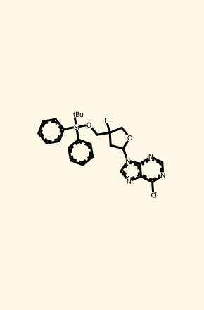 CC(C)(C)[Si](OCC1(F)COC(n2cnc3c(Cl)ncnc32)C1)(c1ccccc1)c1ccccc1